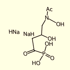 CC(=O)N(O)CC(O)CC(=O)P(=O)(O)O.[NaH].[NaH]